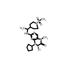 CC[C@@H]1C(=O)N(C)c2cnc(NC(C)C3CCN(S(C)(=O)=O)CC3)nc2N1C1CCCC1